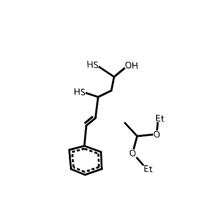 CCOC(C)OCC.OC(S)CC(S)C=Cc1ccccc1